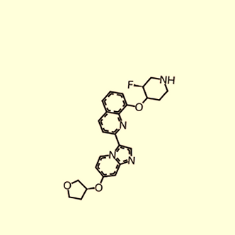 F[C@H]1CNCCC1Oc1cccc2ccc(-c3cnc4cc(O[C@H]5CCOC5)ccn34)nc12